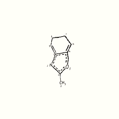 Cc1nc2c(o1)=CCCC=2